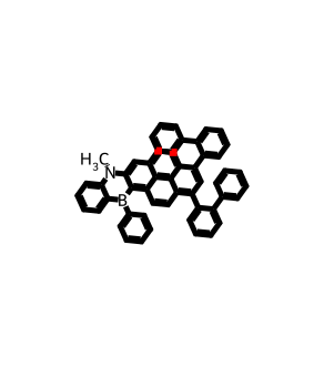 CN1c2ccccc2B(c2ccccc2)c2c1cc1ccc3c(-c4ccccc4-c4ccccc4)cc(-c4ccccc4-c4ccccc4)c4ccc2c1c34